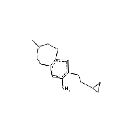 CN1CCc2cc(N)c(CCC3CC3)cc2CC1